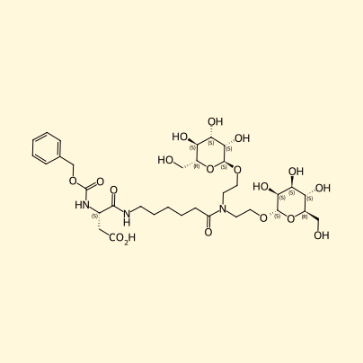 O=C(O)C[C@H](NC(=O)OCc1ccccc1)C(=O)NCCCCCC(=O)N(CCO[C@H]1O[C@H](CO)[C@@H](O)[C@H](O)[C@@H]1O)CCO[C@H]1O[C@H](CO)[C@@H](O)[C@H](O)[C@@H]1O